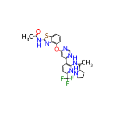 CC(=O)Nc1nc2c(Oc3cc(-c4ccc(C(F)(F)F)nc4N[C@@H](C)C4CCCN4)ncn3)cccc2s1